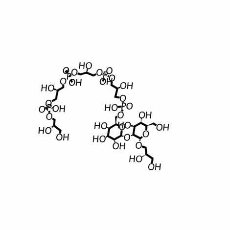 O=P(O)(OC[C@H](O)COP(=O)(O)OC[C@H](O)COP(=O)(O)OC[C@H](O)CO)OC[C@@H](O)COP(=O)(O)OC[C@H]1O[C@H](O[C@H]2[C@@H](OC[C@@H](O)CO)O[C@H](CO)[C@@H](O)[C@@H]2O)[C@H](O)[C@@H](O)[C@@H]1O